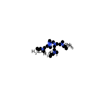 CC1(C)c2ccccc2-c2ccc(-n3c4ccccc4c4cc(-c5ccc6c(c5)c5cc(-c7ccc8c(c7)c7ccccc7n8-c7ccc8c(c7)C(C)(C)c7ccccc7-8)ccc5n6-c5cccc(-c6nc(-n7c8ccccc8c8cc(-c9ccc%10c(c9)c9ccccc9n%10-c9ccc%10c(c9)C(C)(C)c9ccccc9-%10)ccc87)nc7ccccc67)c5)ccc43)cc21